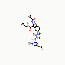 CCn1nc(C)cc1NNC(=S)N[C@H]1CCc2sc(NC(=O)C3CC3)c(C(=O)NCC3CC3)c2C1